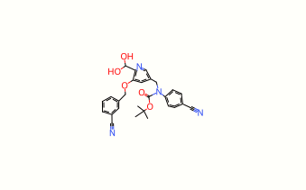 CC(C)(C)OC(=O)N(Cc1cnc(C(O)O)c(OCc2cccc(C#N)c2)c1)c1ccc(C#N)cc1